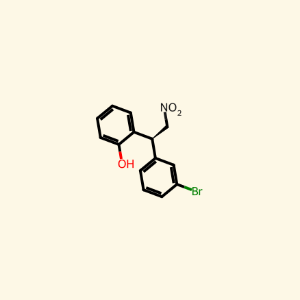 O=[N+]([O-])C[C@@H](c1cccc(Br)c1)c1ccccc1O